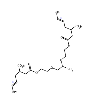 CCC/C=C/CC(CC(=O)OCCOCC(C)OCCOC(=O)CC(C/C=C/CCC)C(=O)O)C(=O)O